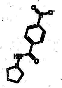 O=C(NN1CCCC1)c1ccc([N+](=O)[O-])cc1